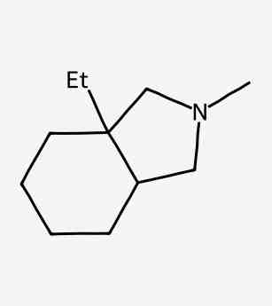 CCC12CCCCC1CN(C)C2